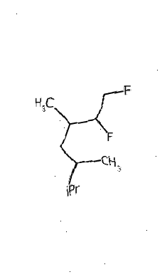 CC(C)C(C)CC(C)C(F)CF